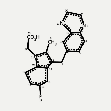 Cc1c(Cc2ccc3nccnc3c2)c2cc(F)ccc2n1CC(=O)O